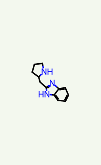 c1ccc2[nH]c(CC3CCCN3)nc2c1